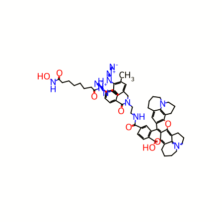 Cc1cc(CN(CCNC(=O)c2ccc(C(=O)O)c(C3=c4cc5c6c(c4Oc4c3cc3c7c4CCCN7CCCC3)CCC[N+]=6CCCC5)c2)C(=O)c2ccc(NC(=O)CCCCCCC(=O)NO)cc2)cc(N=[N+]=[N-])c1N=[N+]=[N-]